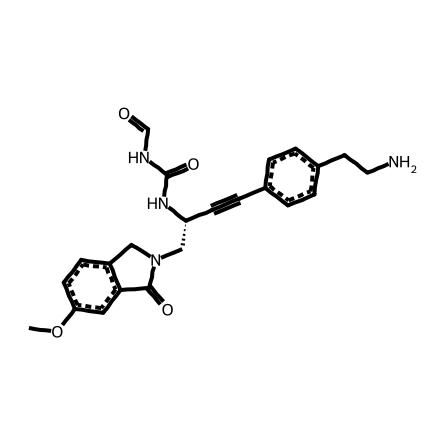 COc1ccc2c(c1)C(=O)N(C[C@@H](C#Cc1ccc(CCN)cc1)NC(=O)NC=O)C2